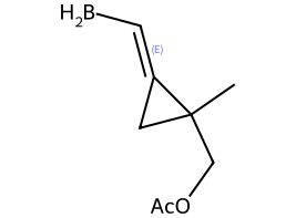 B/C=C1\CC1(C)COC(C)=O